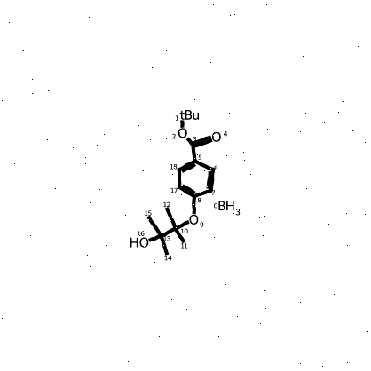 B.CC(C)(C)OC(=O)c1ccc(OC(C)(C)C(C)(C)O)cc1